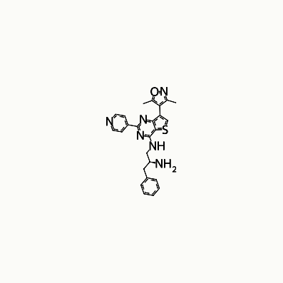 Cc1noc(C)c1-c1csc2c(NC[C@@H](N)Cc3ccccc3)nc(-c3ccncc3)nc12